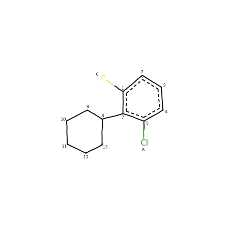 Fc1[c]ccc(Cl)c1C1CCCCC1